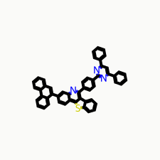 c1ccc(-c2cc(-c3ccccc3)nc(-c3ccc(-c4nc5cc(-c6cc7ccccc7c7ccccc67)ccc5c5sc6ccccc6c45)cc3)n2)cc1